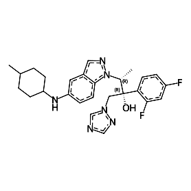 CC1CCC(Nc2ccc3c(cnn3[C@H](C)[C@](O)(Cn3cncn3)c3ccc(F)cc3F)c2)CC1